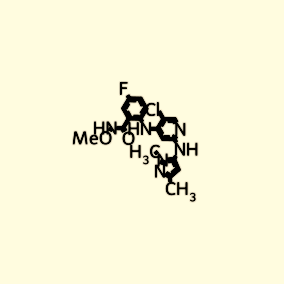 CONC(=O)c1cc(F)ccc1Nc1cc(Nc2cc(C)nn2C)ncc1Cl